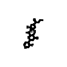 CCCC(=O)N1C[C@@H]2[C@H](C1)[C@@H]2N(C)c1nc(-c2ccncc2F)cc(=O)n1C